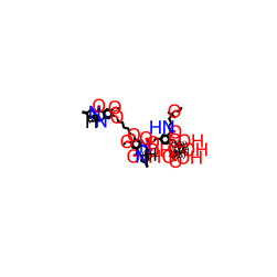 C=C1C[C@H]2C=Nc3cc(OCCCCCOc4cc5c(cc4OC)C(=O)N4CC(=C)C[C@H]4C(O)N5C(=O)OCc4ccc(O[C@@H]5O[C@H](C(=O)O)[C@@H](O)[C@H](O)[C@H]5O)c(C(=O)NCCC(C)(C)OCC)c4)c(OC)cc3C(=O)N2C1